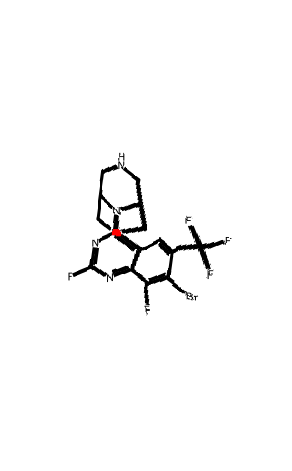 Fc1nc(N2C3CNCC2COC3)c2cc(C(F)(F)F)c(Br)c(F)c2n1